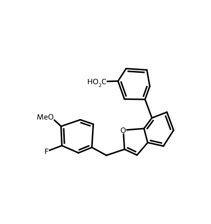 COc1ccc(Cc2cc3cccc(-c4cccc(C(=O)O)c4)c3o2)cc1F